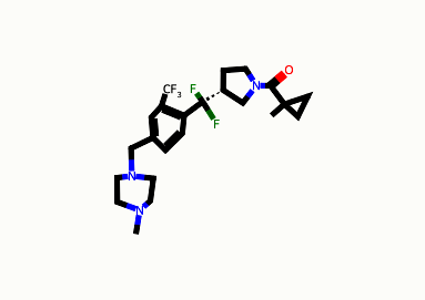 CN1CCN(Cc2ccc(C(F)(F)[C@@H]3CCN(C(=O)C4(C)CC4)C3)c(C(F)(F)F)c2)CC1